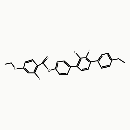 CCOc1ccc(C(=O)Oc2ccc(-c3ccc(-c4ccc(CC)cc4)c(F)c3F)cc2)c(F)c1